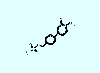 Cn1ccc(-c2ccc(COS(C)(=O)=O)cc2)cc1=O